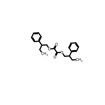 CCC(COC(=O)C(=O)OCC(CC)c1ccccc1)c1ccccc1